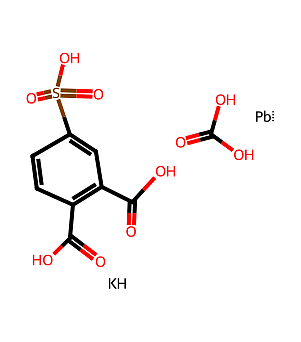 O=C(O)O.O=C(O)c1ccc(S(=O)(=O)O)cc1C(=O)O.[KH].[Pb]